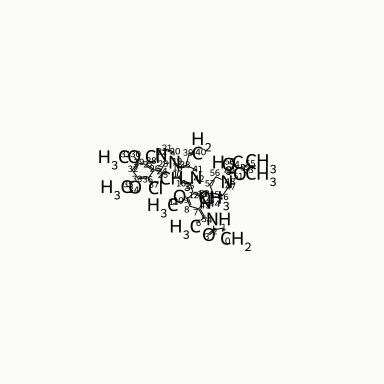 C=CC(=O)N/C(C)=C(/C=C(OC)\C(=C/C)C1=CCC(n2ccnc2C(C)c2c(Cl)c(OC)cc(OC)c2Cl)=C(C=C)C=N1)N1CC2(CCN(C(=O)OC(C)(C)C)CC2)C1